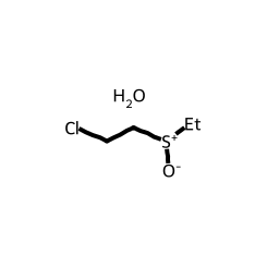 CC[S+]([O-])CCCl.O